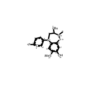 CCCCC1CN(c2ccc(F)cc2)c2cc(SC)c(O)cc2SN1C